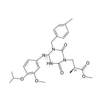 COC(=O)[C@@H](C)Cn1c(=O)[nH]/c(=N\c2ccc(OC(C)C)c(OC)c2)n(Cc2ccc(C)cc2)c1=O